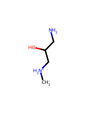 [CH2-][NH2+]CC(O)CN